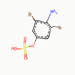 Nc1c(Br)cc(OS(=O)(=O)O)cc1Br